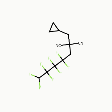 N#CC(C#N)(CC1CC1)CC(F)(F)C(F)(F)C(F)(F)C(F)F